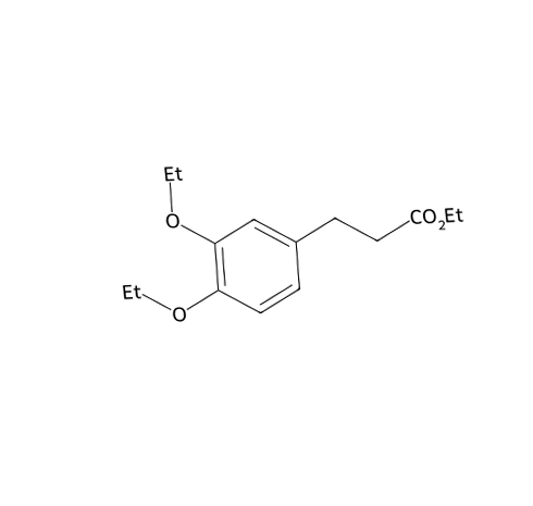 CCOC(=O)CCc1ccc(OCC)c(OCC)c1